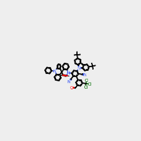 CC(C)(C)c1ccc2c(c1)c1cc(C(C)(C)C)ccc1n2-c1cc(N2c3ccccc3C3(c4ccccc4N(c4ccccc4)c4ccccc43)c3ccccc32)c(C#N)c(-c2cc(C=O)cc(C(Cl)(Cl)Cl)c2)c1C#N